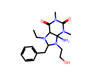 CCN1C(Cc2ccccc2)N(CCO)C2(N)C1C(=O)N(C)C(=O)N2C